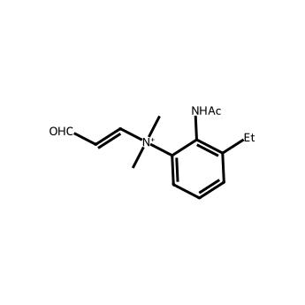 CCc1cccc([N+](C)(C)C=CC=O)c1NC(C)=O